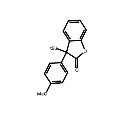 COc1ccc(C2(C(C)(C)C)C(=O)Oc3ccccc32)cc1